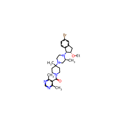 CCO[C@H]1Cc2cc(Br)ccc2[C@@H]1N1CCN(C2(C)CCN(C(=O)c3c(C)ncnc3C)CC2)C[C@@H]1C